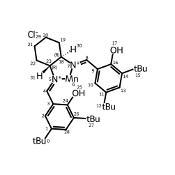 CC(C)(C)c1cc(C=[N+]2[Mn][N+](=Cc3cc(C(C)(C)C)cc(C(C)(C)C)c3O)[C@@H]3CCCC[C@H]32)c(O)c(C(C)(C)C)c1.[Cl-]